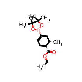 CCOC(=O)[C@@H]1CC=C(B2OC(C)(C)C(C)(C)O2)C[C@@H]1C